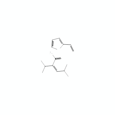 C=Cc1cccs1.CC(C)C=C(C(N)=O)C(C)C